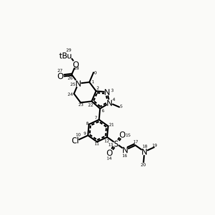 CC1c2nn(C)c(-c3cc(Cl)cc(S(=O)(=O)N=CN(C)C)c3)c2CCN1C(=O)OC(C)(C)C